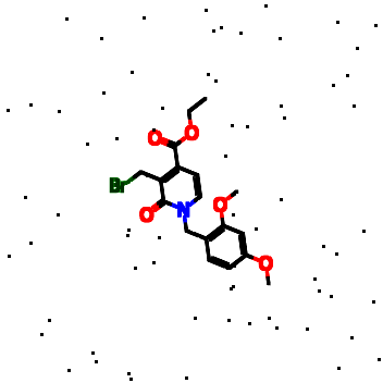 CCOC(=O)c1ccn(Cc2ccc(OC)cc2OC)c(=O)c1CBr